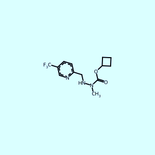 CN(NCc1ccc(C(F)(F)F)cn1)C(=O)OC1CCC1